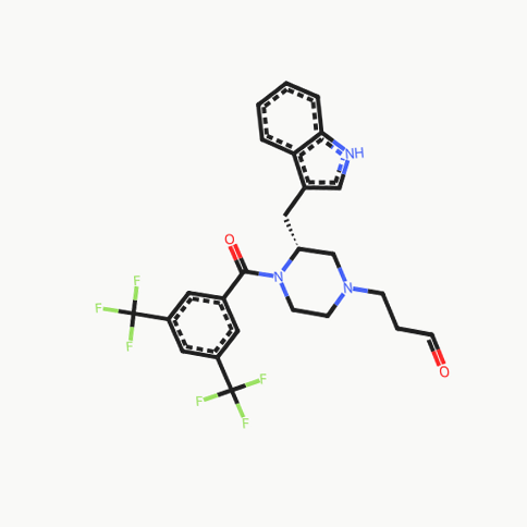 O=CCCN1CCN(C(=O)c2cc(C(F)(F)F)cc(C(F)(F)F)c2)[C@H](Cc2c[nH]c3ccccc23)C1